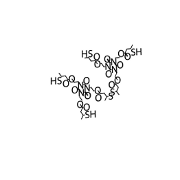 CC(S)CC(=O)OCCn1c(=O)n(CCOC(=O)CC(C)S)c(=O)n(CCOC(=O)CC(C)SSC(C)CC(=O)OCCn2c(=O)n(CCOC(=O)CC(C)S)c(=O)n(CCOC(=O)CC(C)S)c2=O)c1=O